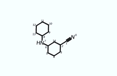 N#CC1CCCC(NC2CCCCC2)C1